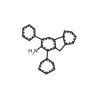 Nc1c(-c2ccccc2)cc2c(c1-c1ccccc1)Cc1ccccc1-2